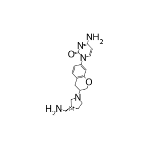 NC[C@@H]1CCN(C2COc3cc(-n4ccc(N)nc4=O)ccc3C2)C1